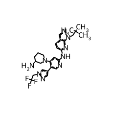 CC(C)(C)Cn1ncc2ccc(Nc3cc(N4CCC[C@H](N)C4)c(-c4cnn(CC(F)(F)F)c4)cn3)nc21